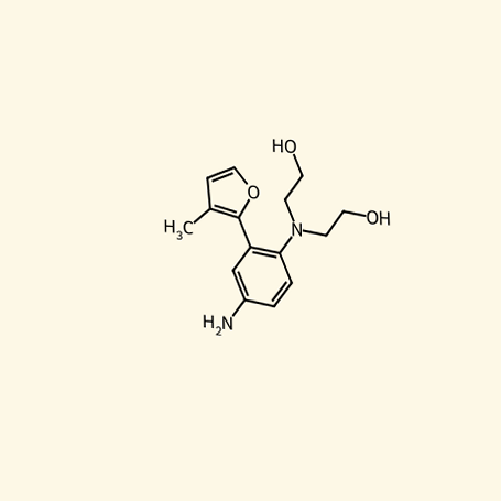 Cc1ccoc1-c1cc(N)ccc1N(CCO)CCO